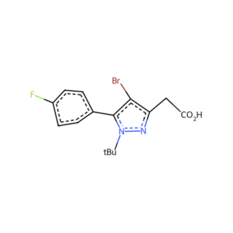 CC(C)(C)n1nc(CC(=O)O)c(Br)c1-c1ccc(F)cc1